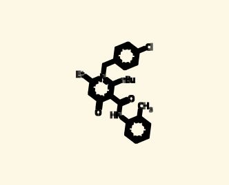 CCCCc1c(C(=O)Nc2ccccc2C)c(=O)cc(CC)n1Cc1ccc(Cl)cc1